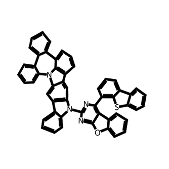 c1ccc2c(c1)-c1ccccc1-n1c3cc4c5ccccc5n(-c5nc(-c6cccc7c6sc6ccccc67)c6c(n5)oc5ccccc56)c4cc3c3cccc-2c31